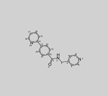 O=C(NCc1ccncc1)c1ccc(-c2ccccn2)cc1